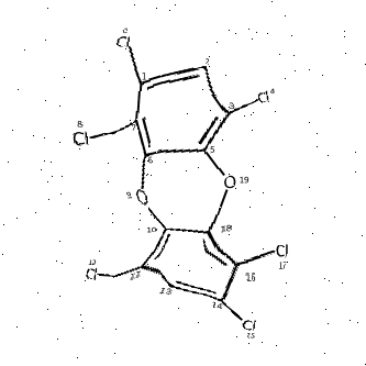 Clc1cc(Cl)c2c(c1Cl)Oc1c(Cl)cc(Cl)c(Cl)c1O2